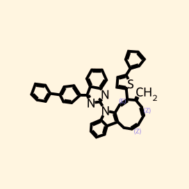 C=C1/C=C\C=C/Cc2c(n(-c3nc(-c4ccc(-c5ccccc5)cc4)c4ccccc4n3)c3ccccc23)/C=C\1c1ccc(-c2ccccc2)s1